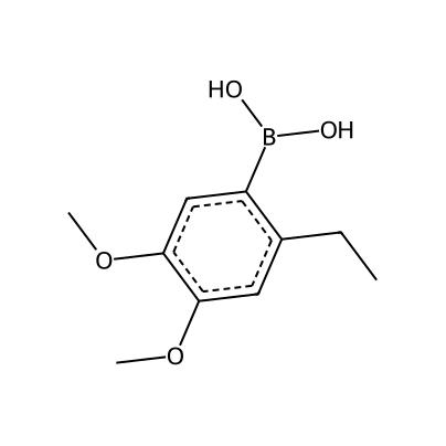 CCc1cc(OC)c(OC)cc1B(O)O